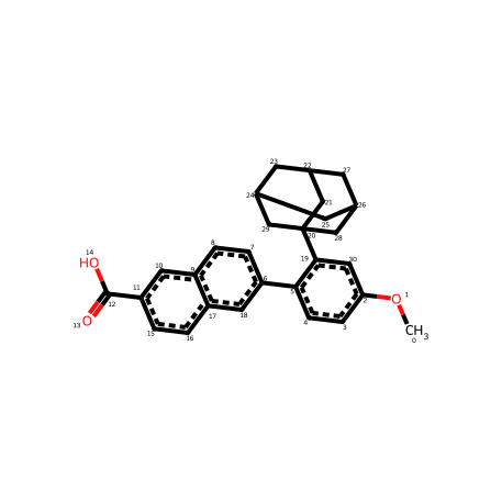 COc1ccc(-c2ccc3cc(C(=O)O)ccc3c2)c(C23CC4CC(CC(C4)C2)C3)c1